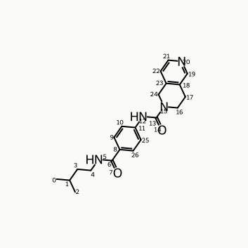 CC(C)CCNC(=O)c1ccc(NC(=O)N2CCc3cnccc3C2)cc1